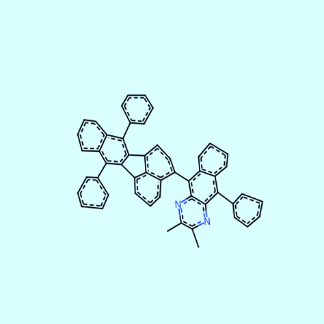 Cc1nc2c(-c3ccccc3)c3ccccc3c(-c3ccc4c5c(cccc35)-c3c-4c(-c4ccccc4)c4ccccc4c3-c3ccccc3)c2nc1C